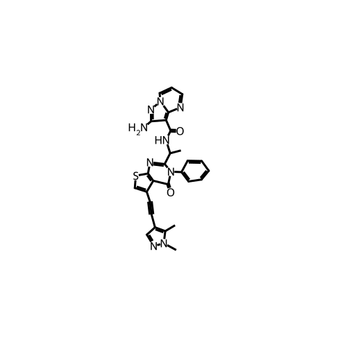 Cc1c(C#Cc2csc3nc(C(C)NC(=O)c4c(N)nn5cccnc45)n(-c4ccccc4)c(=O)c23)cnn1C